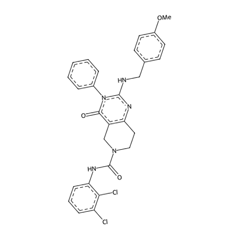 COc1ccc(CNc2nc3c(c(=O)n2-c2ccccc2)CN(C(=O)Nc2cccc(Cl)c2Cl)CC3)cc1